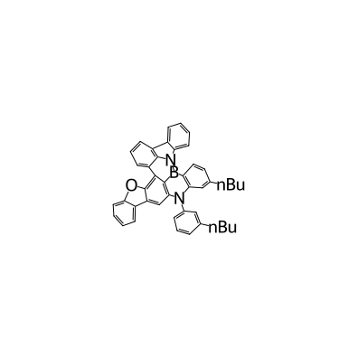 CCCCc1cccc(N2c3cc(CCCC)ccc3B3c4c2cc2c(oc5ccccc52)c4-c2cccc4c5ccccc5n3c24)c1